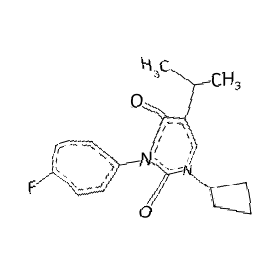 CC(C)c1cn(C2CCC2)c(=O)n(-c2ccc(F)cc2)c1=O